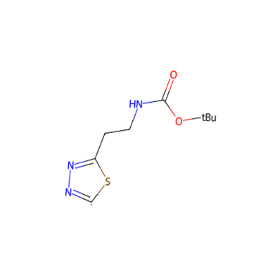 CC(C)(C)OC(=O)NCCc1nn[c]s1